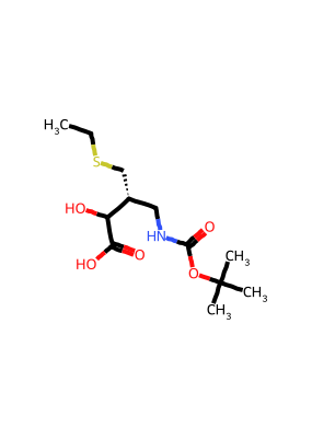 CCSC[C@H](CNC(=O)OC(C)(C)C)C(O)C(=O)O